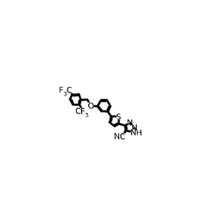 N#Cc1[nH]nnc1-c1ccc(-c2cccc(OCc3cc(C(F)(F)F)ccc3C(F)(F)F)c2)s1